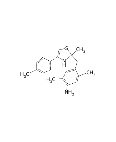 Cc1ccc(C2=CSC(C)(Cc3cc(C)c(N)cc3C)N2)cc1